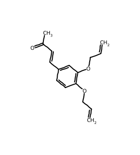 C=CCOc1ccc(/C=C/C(C)=O)cc1OCC=C